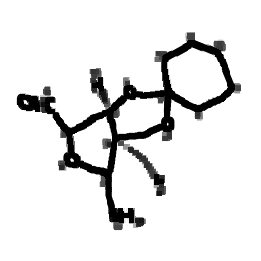 BC1OC(C=O)[C@H]2OC3(CCCCC3)O[C@@H]12